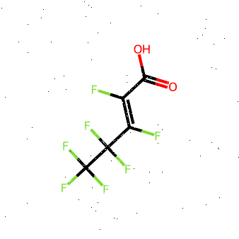 O=C(O)/C(F)=C(\F)C(F)(F)C(F)(F)F